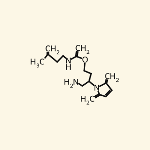 C=C(C)CCNC(=C)OCCC(CN)n1c(=C)ccc1=C